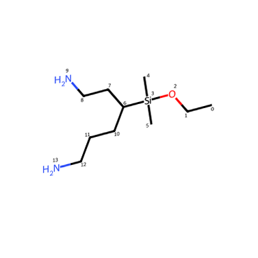 CCO[Si](C)(C)C(CCN)CCCN